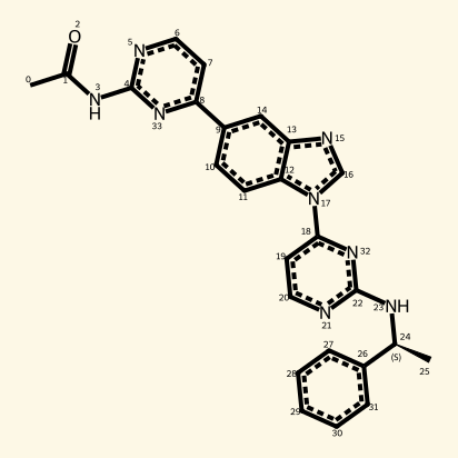 CC(=O)Nc1nccc(-c2ccc3c(c2)ncn3-c2ccnc(N[C@@H](C)c3ccccc3)n2)n1